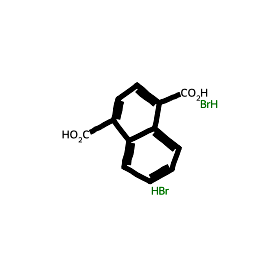 Br.Br.O=C(O)c1ccc(C(=O)O)c2ccccc12